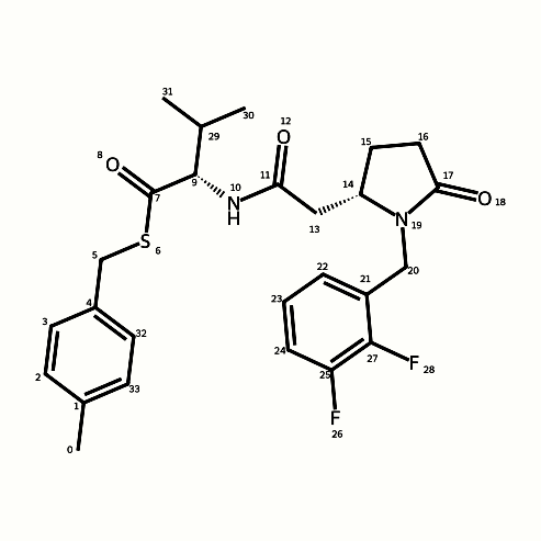 Cc1ccc(CSC(=O)[C@@H](NC(=O)C[C@@H]2CCC(=O)N2Cc2cccc(F)c2F)C(C)C)cc1